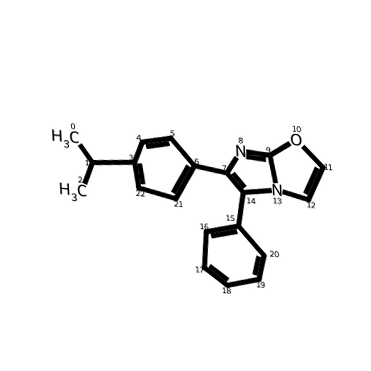 CC(C)c1ccc(-c2nc3occn3c2-c2ccccc2)cc1